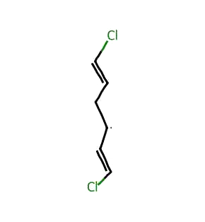 ClC=C[CH]CC=CCl